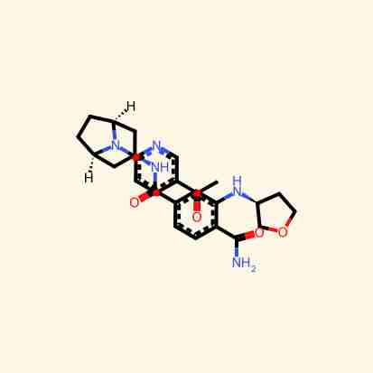 CC(=O)c1ccc(N2[C@@H]3CC[C@H]2C[C@@H](NC(=O)c2ccc(C(N)=O)c(N[C@H]4CCOC4)c2)C3)nc1